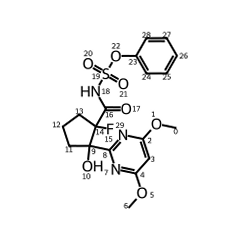 COc1cc(OC)nc(C2(O)CCCC2(F)C(=O)NS(=O)(=O)Oc2ccccc2)n1